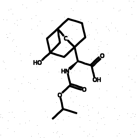 CC(C)OC(=O)N[C@H](C(=O)O)C12CCCC3(CC(O)(C3)C1)C2